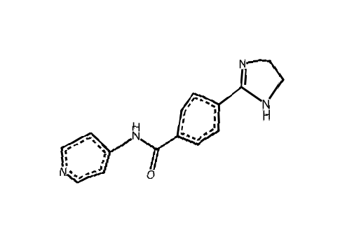 O=C(Nc1ccncc1)c1ccc(C2=NCCN2)cc1